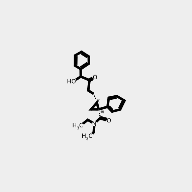 CCN(CC)C(=O)[C@]1(c2ccccc2)C[C@@H]1CCC(=O)C(O)c1ccccc1